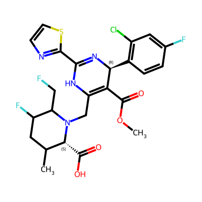 COC(=O)C1=C(CN2C(CF)C(F)CC(C)[C@H]2C(=O)O)NC(c2nccs2)=N[C@H]1c1ccc(F)cc1Cl